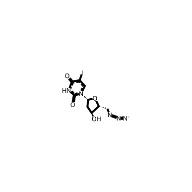 [N-]=[N+]=NC[C@H]1O[C@@H](n2cc(I)c(=O)[nH]c2=O)C[C@@H]1O